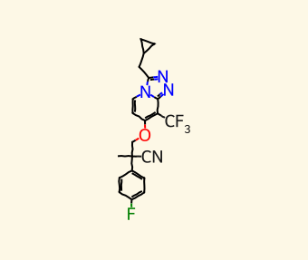 CC(C#N)(COc1ccn2c(CC3CC3)nnc2c1C(F)(F)F)c1ccc(F)cc1